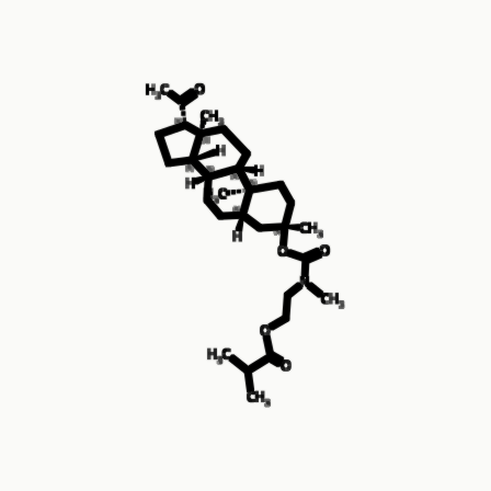 CC(=O)[C@H]1CC[C@H]2[C@H]3CC[C@H]4C[C@@](C)(OC(=O)N(C)CCOC(=O)C(C)C)CC[C@]4(C)[C@H]3CC[C@]12C